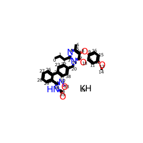 CCCc1nc(C)c(Oc2ccc(OC)cc2)c(=O)n1Cc1ccc(-c2ccccc2-c2noc(=O)[nH]2)cc1.[KH]